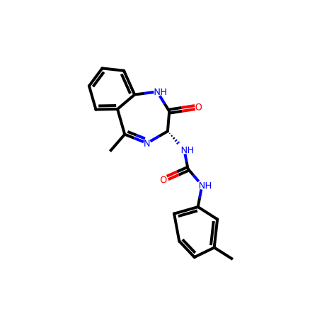 CC1=N[C@@H](NC(=O)Nc2cccc(C)c2)C(=O)Nc2ccccc21